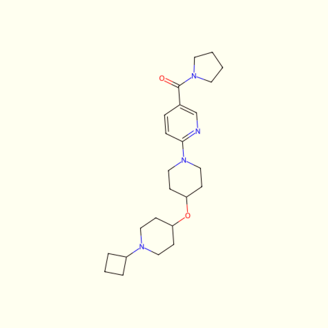 O=C(c1ccc(N2CCC(OC3CCN(C4CCC4)CC3)CC2)nc1)N1CCCC1